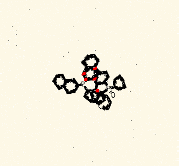 O=P(c1ccccc1)(c1ccccc1)c1ccc2ccccc2c1-c1c(P(c2ccc3ccccc3c2)c2ccc3ccccc3c2)ccc2ccccc12